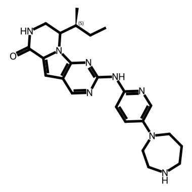 CC[C@H](C)C1CNC(=O)c2cc3cnc(Nc4ccc(N5CCCNCC5)cn4)nc3n21